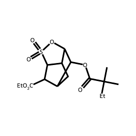 CCOC(=O)C1C2CC3C(OS(=O)(=O)C31)C2OC(=O)C(C)(C)CC